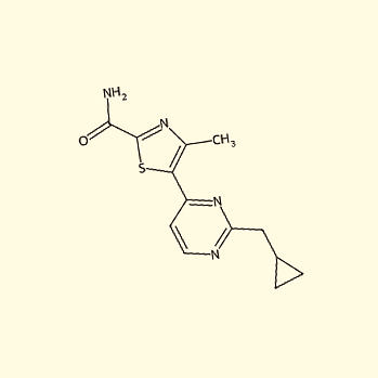 Cc1nc(C(N)=O)sc1-c1ccnc(CC2CC2)n1